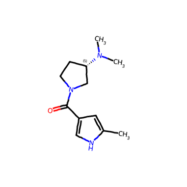 Cc1cc(C(=O)N2CC[C@H](N(C)C)C2)c[nH]1